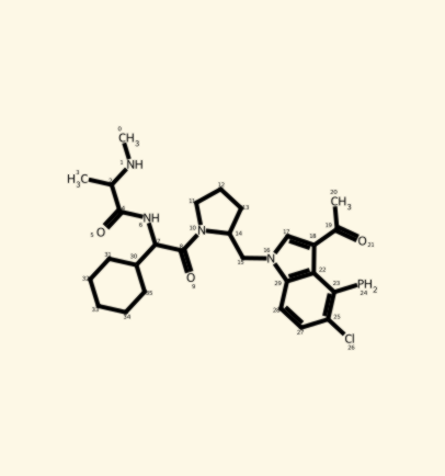 CNC(C)C(=O)NC(C(=O)N1CCCC1Cn1cc(C(C)=O)c2c(P)c(Cl)ccc21)C1CCCCC1